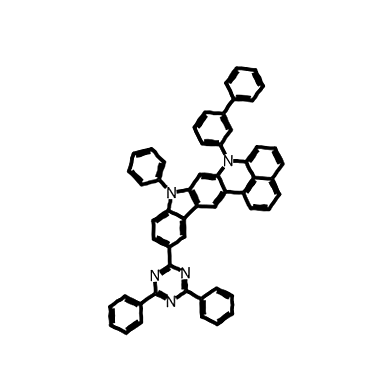 c1ccc(-c2cccc(N3c4cc5c(cc4-c4cccc6cccc3c46)c3cc(-c4nc(-c6ccccc6)nc(-c6ccccc6)n4)ccc3n5-c3ccccc3)c2)cc1